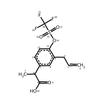 C=CCc1cc(C(C)C(=O)O)ccc1OS(=O)(=O)C(F)(F)F